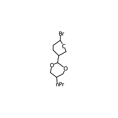 CCCC1COC(C2CCC(Br)CC2)OC1